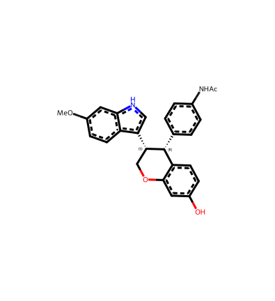 COc1ccc2c([C@H]3COc4cc(O)ccc4[C@H]3c3ccc(NC(C)=O)cc3)c[nH]c2c1